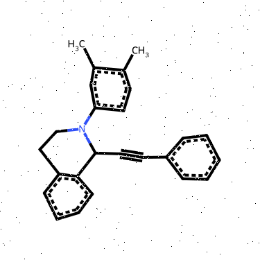 Cc1ccc(N2CCc3ccccc3C2C#Cc2ccccc2)cc1C